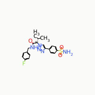 CC(C)[C@@H](C(=O)NCc1ccc(F)cc1)n1cc(-c2ccc(S(N)(=O)=O)cc2)nn1